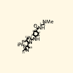 CNCCNC(=O)c1ccc(Nc2ncc(F)c(-c3cnc(C)n3C(C)C)n2)cc1